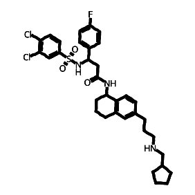 O=C(CC(NS(=O)(=O)c1ccc(Cl)c(Cl)c1)c1ccc(F)cc1)NC1CCCc2cc(CCCNCC3CCCC3)ccc21